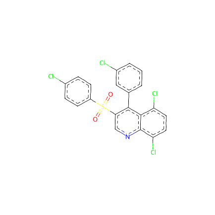 O=S(=O)(c1ccc(Cl)cc1)c1cnc2c(Cl)ccc(Cl)c2c1-c1cccc(Cl)c1